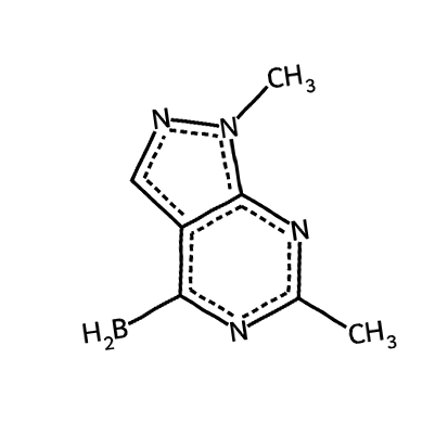 Bc1nc(C)nc2c1cnn2C